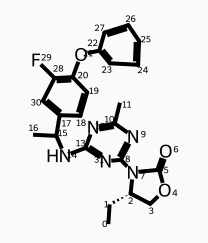 CC[C@H]1COC(=O)N1c1nc(C)nc(NC(C)c2ccc(Oc3ccccc3)c(F)c2)n1